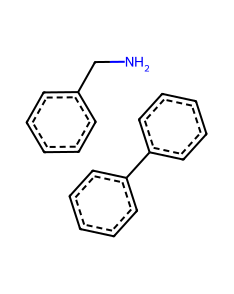 NCc1ccccc1.c1ccc(-c2ccccc2)cc1